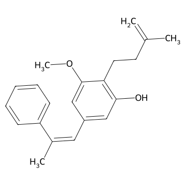 C=C(C)CCc1c(O)cc(C=C(C)c2ccccc2)cc1OC